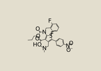 CCCOC(=O)N(Cc1c(F)cccc1F)c1sc(-c2ccc([N+](=O)[O-])cc2)c(CN(C)C)c1C(=O)O